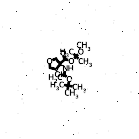 C=C(N[C@@]1(C(=O)OC(C)(C)OC)COC[C@H]1O)OC(C)(C)C